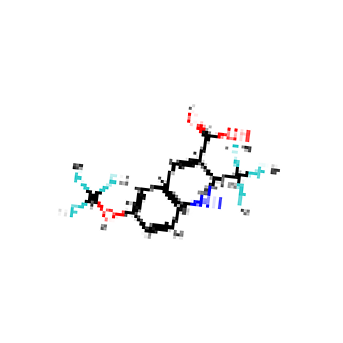 O=C(O)C1=Cc2cc(OC(F)(F)F)ccc2NC1C(F)(F)F